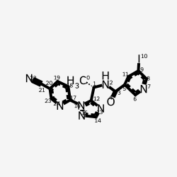 C[C@H](NC(=O)c1cncc(I)c1)c1ncnn1-c1ccc(C#N)cn1